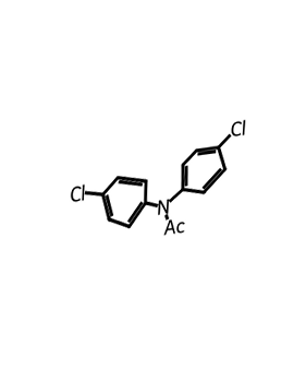 CC(=O)N(c1ccc(Cl)cc1)c1ccc(Cl)cc1